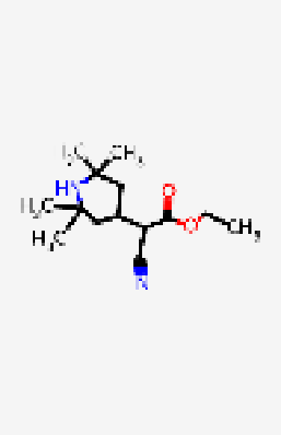 CCOC(=O)C(C#N)C1CC(C)(C)NC(C)(C)C1